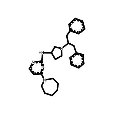 c1ccc(CC(Cc2ccccc2)N2CCC(Nc3nccc(N4CCCCCC4)n3)C2)cc1